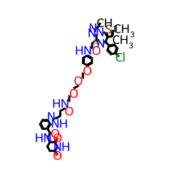 Cc1sc2c(c1C)C(c1ccc(Cl)cc1)=N[C@@H](CC(=O)Nc1ccc(OCCOCCOCCNC(=O)CCc3nc4cccc(C(=O)NC5CCC(=O)NC5=O)c4[nH]3)cc1)c1nnc(C)n1-2